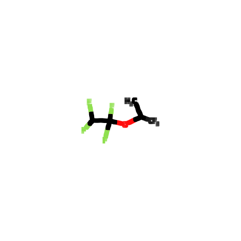 CC(OC(F)(F)C(F)F)C(F)(F)F